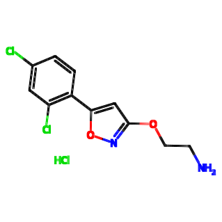 Cl.NCCOc1cc(-c2ccc(Cl)cc2Cl)on1